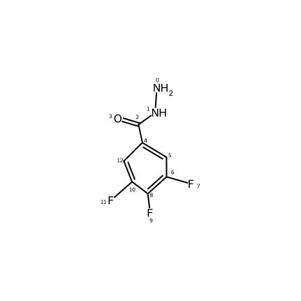 NNC(=O)c1cc(F)c(F)c(F)c1